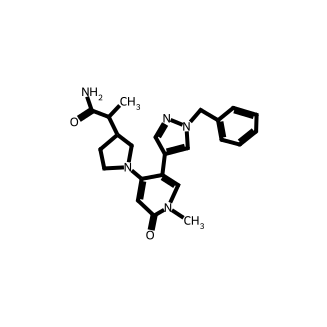 CC(C(N)=O)C1CCN(c2cc(=O)n(C)cc2-c2cnn(Cc3ccccc3)c2)C1